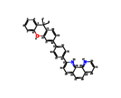 CC1(C)c2ccccc2Oc2cc(-c3ccc(-c4ccc5ccc6cccnc6c5n4)cc3)ccc21